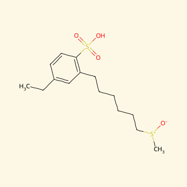 CCc1ccc(S(=O)(=O)O)c(CCCCCC[S+](C)[O-])c1